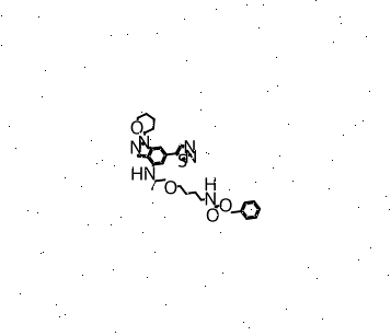 C[C@H](COCCCCNC(=O)OCc1ccccc1)Nc1cc(-c2cnns2)cc2c1cnn2C1CCCCO1